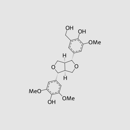 COc1cc([C@@H]2OC[C@@H]3[C@H]2CO[C@H]3c2cc(OC)c(O)c(OC)c2)cc(CO)c1O